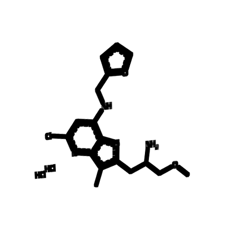 COCC(N)Cc1sc2c(NCc3ccco3)cc(Cl)nc2c1C.Cl.Cl